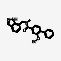 CCOc1cc(C(=O)N(C)Cc2cccc3cn[nH]c23)ccc1-c1ccccc1